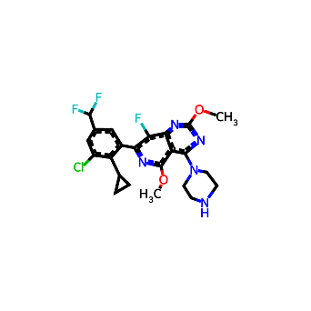 COc1nc(N2CCNCC2)c2c(OC)nc(-c3cc(C(F)F)cc(Cl)c3C3CC3)c(F)c2n1